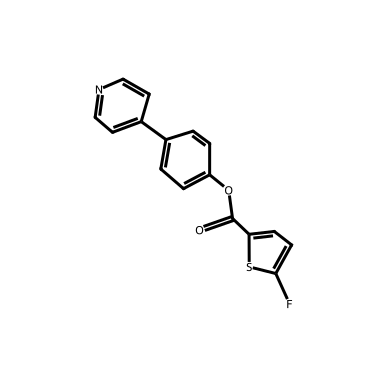 O=C(Oc1ccc(-c2ccncc2)cc1)c1ccc(F)s1